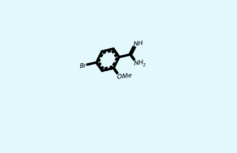 COc1cc(Br)ccc1C(=N)N